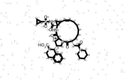 O=C1N[C@]2(C(=O)NS(=O)(=O)C3CC3)CC2/C=C\CCCCC[C@H](CC(=O)N2CCCCC2)C(=O)N2C[C@H](C3c4ccccc4CCN3C(=O)O)C[C@@H]12